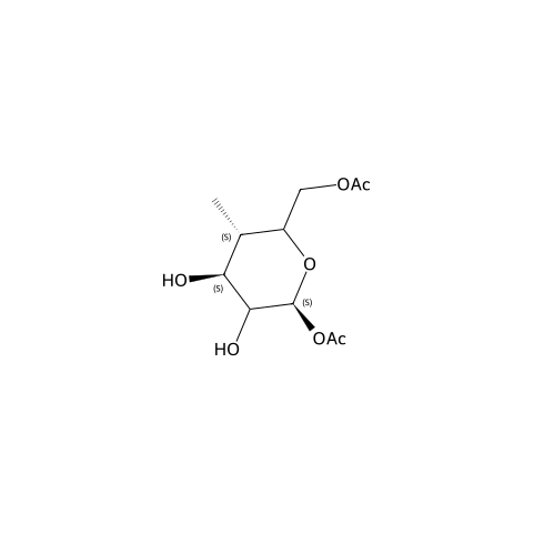 CC(=O)OCC1O[C@@H](OC(C)=O)C(O)[C@@H](O)[C@@H]1C